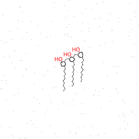 CCCCCCCCCCc1ccc(O)c(Cc2cc(CCCCCCCCCC)cc(Cc3cc(CCCCCCCCCC)ccc3O)c2O)c1